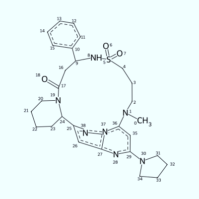 CN1CCCS(=O)(=O)NC(c2ccccc2)CC(=O)N2CCCCC2c2cc3nc(N4CCCC4)cc1n3n2